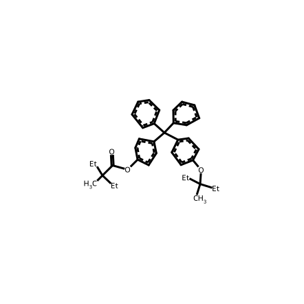 CCC(C)(CC)Oc1ccc(C(c2ccccc2)(c2ccccc2)c2ccc(OC(=O)C(C)(CC)CC)cc2)cc1